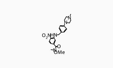 CON(C)C(=O)c1ccc([N+](=O)[O-])c(NCc2ccc(N3CCN(C)CC3)cc2)c1